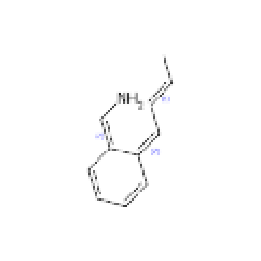 C/C=C/C=c1/cccc/c1=C/N